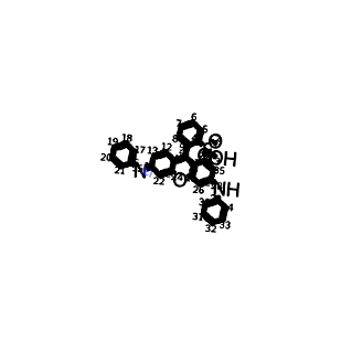 O=S(=O)(O)c1ccccc1-c1c2cc/c(=N\c3ccccc3)cc-2oc2cc(Nc3ccccc3)ccc12